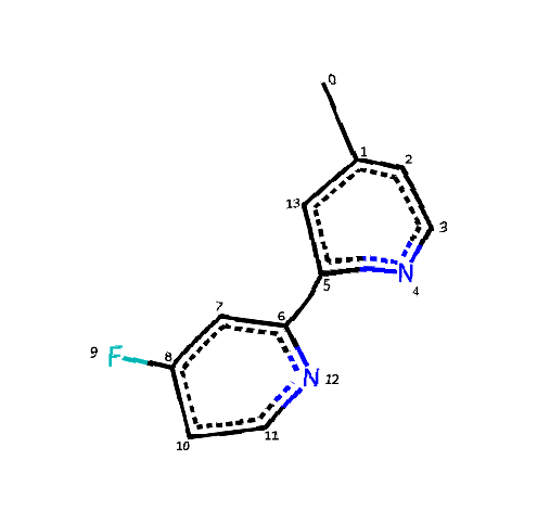 Cc1ccnc(-c2cc(F)ccn2)c1